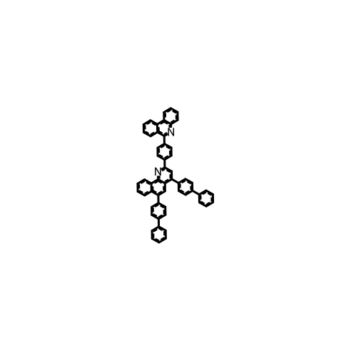 c1ccc(-c2ccc(-c3cc4c(-c5ccc(-c6ccccc6)cc5)cc(-c5ccc(-c6nc7ccccc7c7ccccc67)cc5)nc4c4ccccc34)cc2)cc1